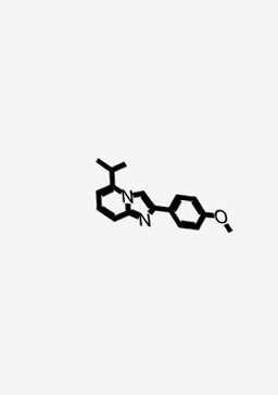 COc1ccc(-c2cn3c(C(C)C)cccc3n2)cc1